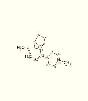 C=C(C)C1C2CCC(C2)C1C(=O)N1CCN(C)CC1